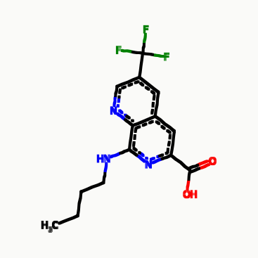 CCCCNc1nc(C(=O)O)cc2cc(C(F)(F)F)cnc12